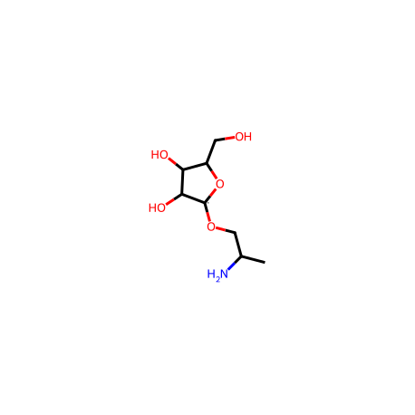 CC(N)CO[C]1OC(CO)C(O)C1O